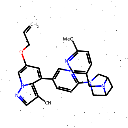 C=CCOc1cc(-c2ccc(N3CC4CC(C3)N4Cc3ccc(OC)nc3)nc2)c2c(C#N)cnn2c1